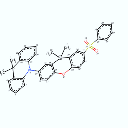 CC1(C)c2ccccc2N(c2ccc3c(c2)[Si](C)(C)c2cc(S(=O)(=O)c4ccccc4)ccc2O3)c2ccccc21